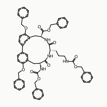 O=C(NCCC[C@@H]1NC(=O)[C@@H](NC(=O)OCc2ccccc2)Cc2cc(ccc2OCc2ccccc2)-c2ccc(OCc3ccccc3)c(c2)C[C@@H](C(=O)OCc2ccccc2)NC1=O)OCc1ccccc1